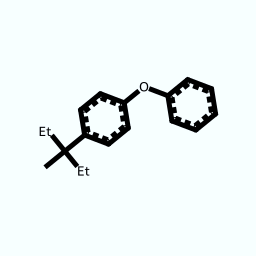 CCC(C)(CC)c1ccc(Oc2ccccc2)cc1